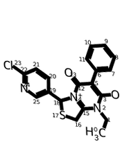 CCn1c([O-])c(-c2ccccc2)c(=O)[n+]2c1CSC2c1ccc(Cl)nc1